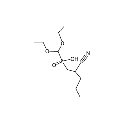 CCCC(C#N)CP(=O)(O)C(OCC)OCC